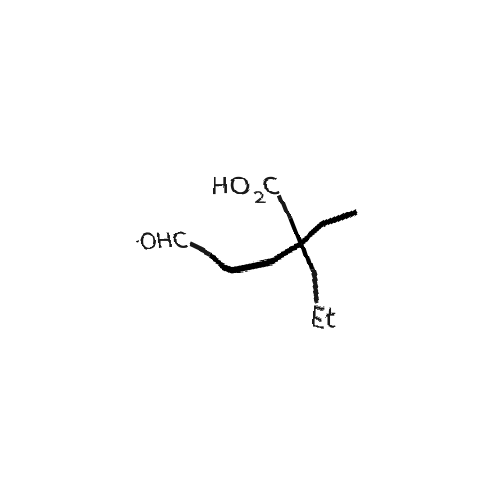 CCC(C)(C[C]=O)C(=O)O